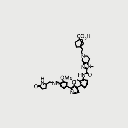 COc1cc(-c2nccc(-c3cccc(NC(=O)c4nc5c(n4C)CCN(CCC46CCC(C(=O)O)(CC4)C6)C5)c3C)c2Cl)ccc1CNCC1CCC(=O)N1